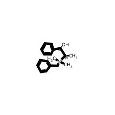 C[C@H]([C@@H](O)c1ccccc1)[N+](C)(C)Cc1ccccc1